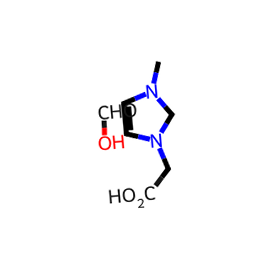 CN1C=CN(CC(=O)O)C1.O=CO